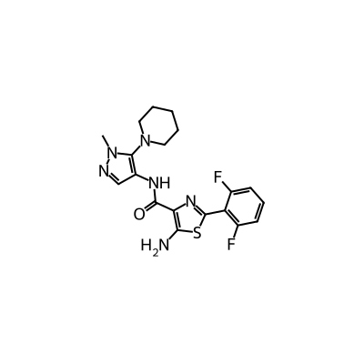 Cn1ncc(NC(=O)c2nc(-c3c(F)cccc3F)sc2N)c1N1CCCCC1